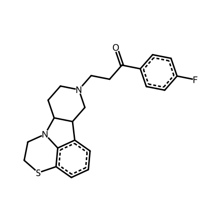 O=C(CCN1CCC2C(C1)c1cccc3c1N2CCS3)c1ccc(F)cc1